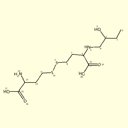 CCC(O)CNC(CCSSCCC(N)C(=O)O)C(=O)O